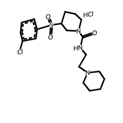 Cl.O=C(NCCN1CCCCC1)N1CCCC(S(=O)(=O)c2cccc(Cl)c2)C1